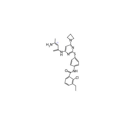 C=C(/C=C(/C)N)Nc1cc(N2CCC2)nc(Sc2ccc(NC(=O)c3cccc(CC)c3Cl)cc2)n1